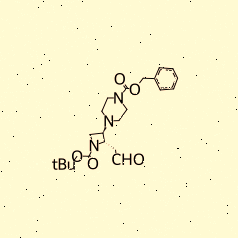 CC(C)(C)OC(=O)N1C[C@@H](N2CCN(C(=O)OCc3ccccc3)CC2)[C@@H]1CC=O